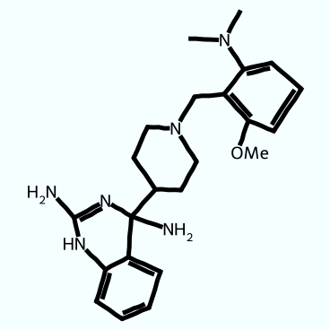 COc1cccc(N(C)C)c1CN1CCC(C2(N)N=C(N)Nc3ccccc32)CC1